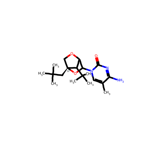 Cc1cn(C2O[C@]3(CC(C)(C)C)COC2C3C(C)(C)C)c(=O)nc1N